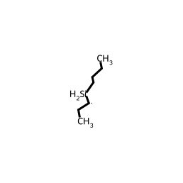 CC[CH][SiH2]CCCC